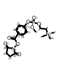 COP(=O)(OCC[N+](C)(C)C)Oc1ccc(C(=O)ON2C(=O)CCC2=O)cc1